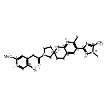 COc1cc(CC(=O)N2CC[C@@]3(CCc4cc(-c5nc(C(F)(F)F)n(C)n5)c(C)nc4N3)C2)c(Cl)cn1